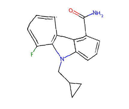 NC(=O)c1cccc2c1c1[c]ccc(F)c1n2CC1CC1